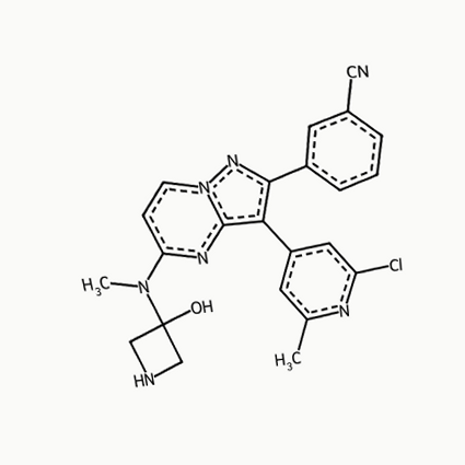 Cc1cc(-c2c(-c3cccc(C#N)c3)nn3ccc(N(C)C4(O)CNC4)nc23)cc(Cl)n1